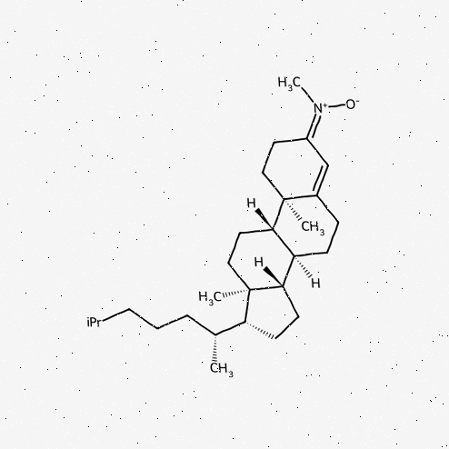 CC(C)CCC[C@@H](C)[C@H]1CC[C@H]2[C@@H]3CCC4=C/C(=[N+](/C)[O-])CC[C@]4(C)[C@H]3CC[C@]12C